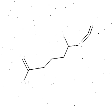 O=C=NC(Cl)CCCC(=O)O